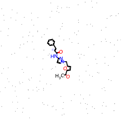 CC(=O)c1ccc(Cn2ccc(NC(=O)/C=C/c3ccccc3)n2)o1